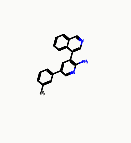 Nc1ncc(-c2cccc(C(F)(F)F)c2)cc1-c1cncc2ccccc12